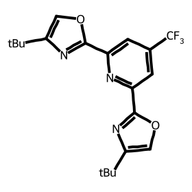 CC(C)(C)c1coc(-c2cc(C(F)(F)F)cc(-c3nc(C(C)(C)C)co3)n2)n1